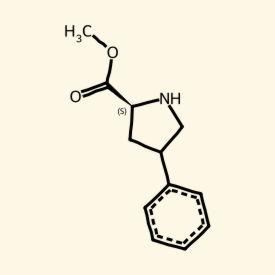 COC(=O)[C@@H]1CC(c2ccccc2)CN1